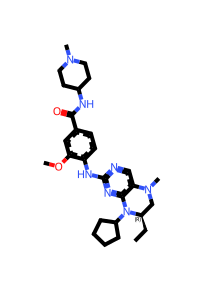 CC[C@@H]1CN(C)c2cnc(Nc3ccc(C(=O)NC4CCN(C)CC4)cc3OC)nc2N1C1CCCC1